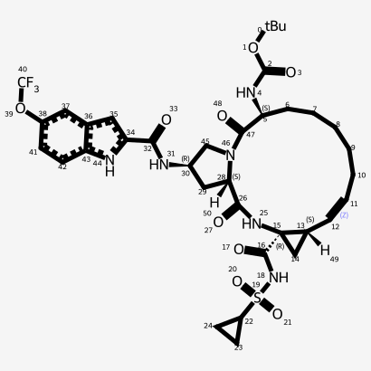 CC(C)(C)OC(=O)N[C@H]1CCCCC/C=C\[C@@H]2C[C@@]2(C(=O)NS(=O)(=O)C2CC2)NC(=O)[C@@H]2C[C@@H](NC(=O)c3cc4cc(OC(F)(F)F)ccc4[nH]3)CN2C1=O